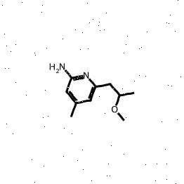 COC(C)Cc1cc(C)cc(N)n1